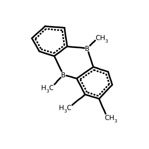 CB1c2ccccc2B(C)c2c1ccc(C)c2C